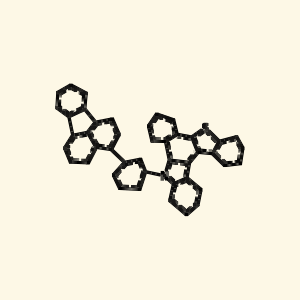 c1cc(-c2ccc3c4c(cccc24)-c2ccccc2-3)cc(-n2c3ccccc3c3c4c5ccccc5sc4c4ccccc4c32)c1